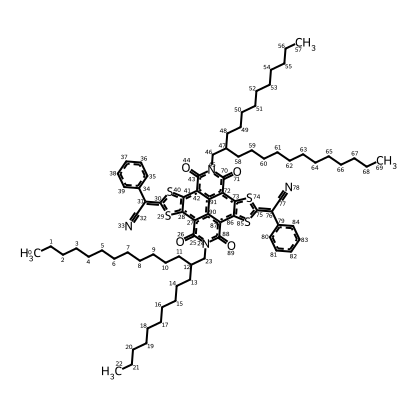 CCCCCCCCCCCCC(CCCCCCCCCC)Cn1c(=O)c2c3sc(=C(C#N)c4ccccc4)sc3c3c(=O)n(CC(CCCCCCCCCC)CCCCCCCCCCCC)c(=O)c4c5sc(=C(C#N)c6ccccc6)sc5c(c1=O)c2c34